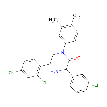 Cc1ccc(N(CCc2ccc(Cl)cc2Cl)C(=O)C(N)c2ccccc2)cc1C.Cl